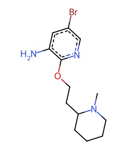 CN1CCCCC1CCOc1ncc(Br)cc1N